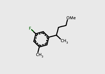 COCC[C](C)c1cc(C)cc(F)c1